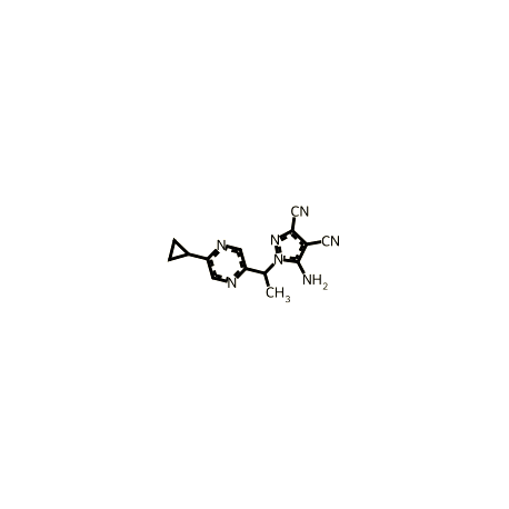 CC(c1cnc(C2CC2)cn1)n1nc(C#N)c(C#N)c1N